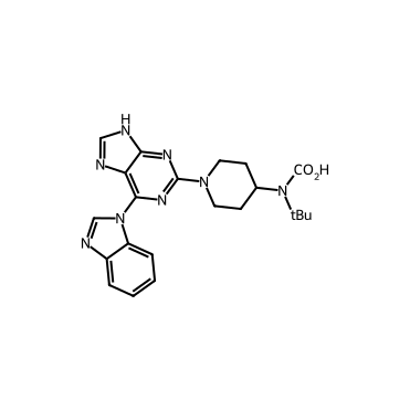 CC(C)(C)N(C(=O)O)C1CCN(c2nc(-n3cnc4ccccc43)c3nc[nH]c3n2)CC1